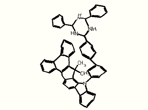 CC1(C)c2c(c3ccccc3c3ccccc23)-c2ccc3c4ccccc4n(-c4cccc(-c5ccc(C6NC(c7ccccc7)NC(c7ccccc7)N6)cc5)c4)c3c21